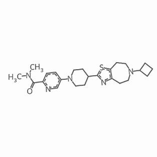 CN(C)C(=O)c1ccc(N2CCC(c3nc4c(s3)CCN(C3CCC3)CC4)CC2)cn1